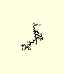 COCCOc1ccc2c(c1)nc(NCCCCNC(=O)C(O)C(C)C)c1nnc(C)n12